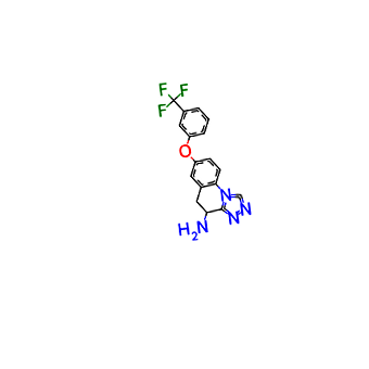 NC1Cc2cc(Oc3cccc(C(F)(F)F)c3)ccc2-n2cnnc21